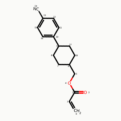 C=CC(=O)OCC1CCC(c2ccc(C#N)cc2)CC1